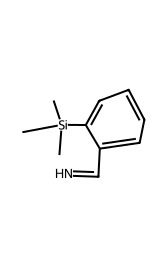 C[Si](C)(C)c1ccccc1C=N